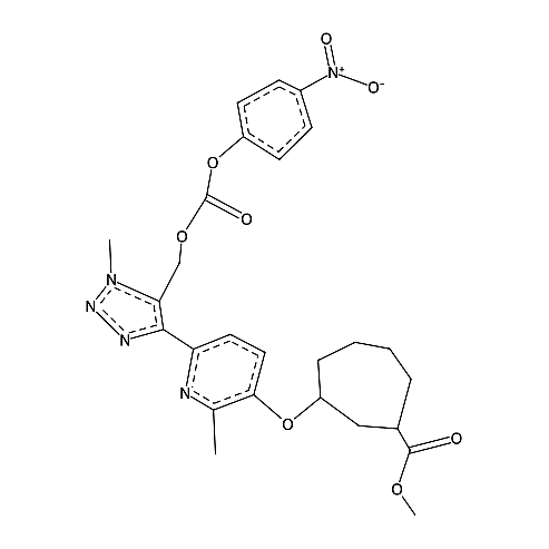 COC(=O)C1CCCCC(Oc2ccc(-c3nnn(C)c3COC(=O)Oc3ccc([N+](=O)[O-])cc3)nc2C)C1